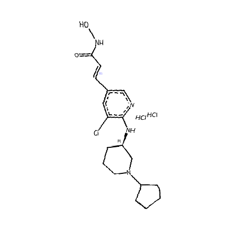 Cl.Cl.O=C(/C=C/c1cnc(N[C@@H]2CCCN(C3CCCC3)C2)c(Cl)c1)NO